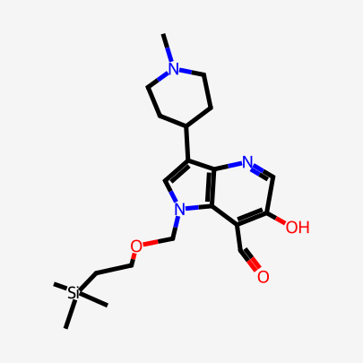 CN1CCC(c2cn(COCC[Si](C)(C)C)c3c(C=O)c(O)cnc23)CC1